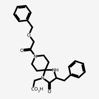 O=C(O)CN1C(=O)C(Cc2ccccc2)NC12CCN(C(=O)COCc1ccccc1)CC2